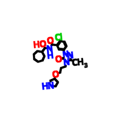 Cc1nn(-c2ccc(Cl)c(C(=O)NC(O)C3CCCCCC3)c2)c(=O)n1CCCOC1CCNC1